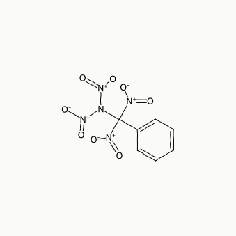 O=[N+]([O-])N([N+](=O)[O-])C(c1ccccc1)([N+](=O)[O-])[N+](=O)[O-]